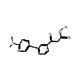 CN(C)c1ccc(-c2cccc(C(=O)CC(=O)OC(C)(C)C)c2)cn1